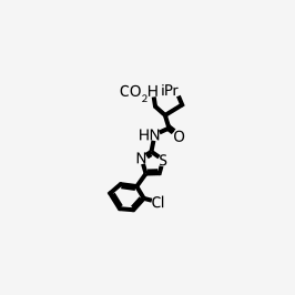 CC(C)CC(CC(=O)O)C(=O)Nc1nc(-c2ccccc2Cl)cs1